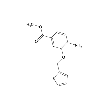 COC(=O)c1ccc(N)c(OCc2cccs2)c1